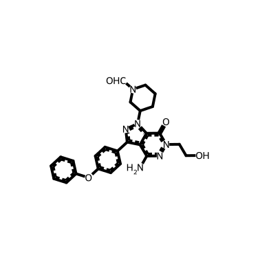 Nc1nn(CCO)c(=O)c2c1c(-c1ccc(Oc3ccccc3)cc1)nn2C1CCCN(C=O)C1